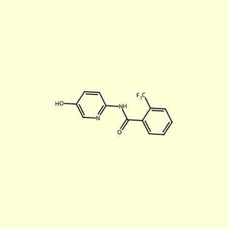 O=C(Nc1ccc(O)cn1)c1ccccc1C(F)(F)F